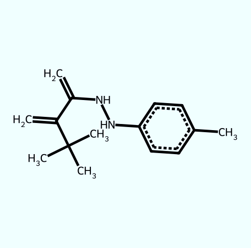 C=C(NNc1ccc(C)cc1)C(=C)C(C)(C)C